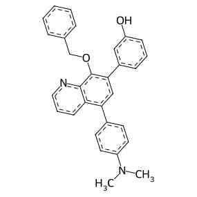 CN(C)c1ccc(-c2cc(-c3cccc(O)c3)c(OCc3ccccc3)c3ncccc23)cc1